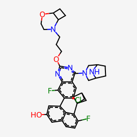 Oc1cc(-c2c(Cl)cc3c(N4CC5CCC(C4)N5)nc(OCCCN4CCOC5CCC54)nc3c2F)c2c(C34CC(C3)C4)c(F)ccc2c1